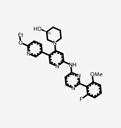 CCOc1ccc(-c2cnc(Nc3ccnc(-c4c(F)cccc4OC)n3)cc2N2CCC[C@H](O)C2)cn1